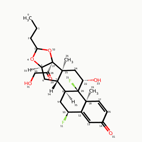 CCCC1O[C@@H]2C[C@H]3[C@@H]4C[C@H](F)C5=CC(=O)C=C[C@]5(C)[C@@]4(F)[C@@H](O)C[C@]3(C)[C@]2(C(=O)CO)O1